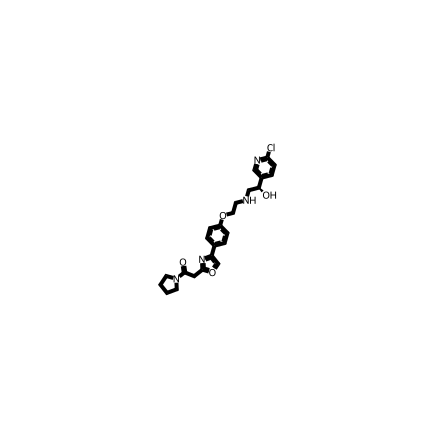 O=C(Cc1nc(-c2ccc(OCCNC[C@H](O)c3ccc(Cl)nc3)cc2)co1)N1CCCC1